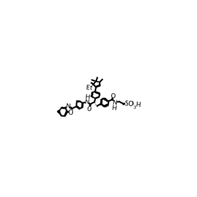 CCC1(C)C(c2ccc([C@H](Cc3ccc(C(=O)NCCS(=O)(=O)O)cc3)C(=O)Nc3ccc(-c4nc5ccccc5o4)cc3)cc2)=CC(C)C1(C)C